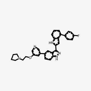 Fc1ccc(-c2cccc3[nH]c(-c4n[nH]c5ccc(-c6cncc(OCCN7CCCC7)c6)cc45)cc23)cc1